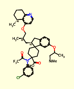 CNCC(C)Oc1ccc2c(c1)C1(CCC(C(=O)OC)(N(C(=O)C(F)(F)F)c3cccc(Cl)c3)CC1)[C@@H](C[C@@H](C)COc1ccnc3c1[C@H](C)CCC3)C2